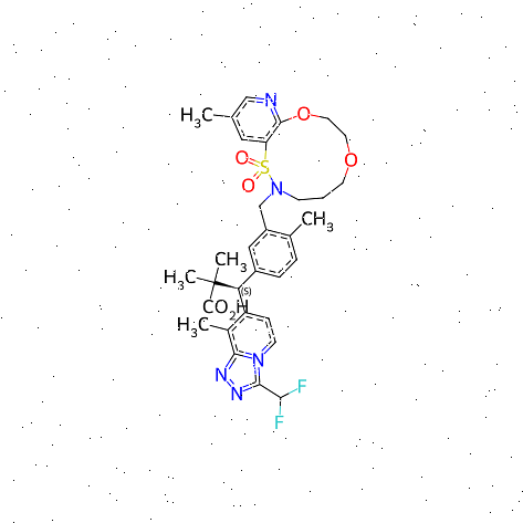 Cc1cnc2c(c1)S(=O)(=O)N(Cc1cc([C@@H](c3ccn4c(C(F)F)nnc4c3C)C(C)(C)C(=O)O)ccc1C)CCCOCCO2